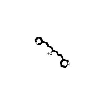 OC(C/C=C/c1cccnc1)C/C=C/c1cccnc1